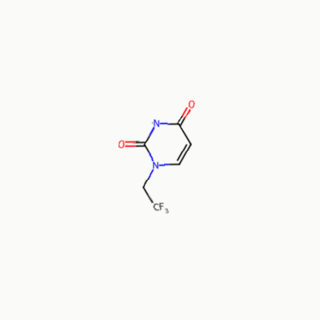 O=C1C=CN(CC(F)(F)F)C(=O)[N]1